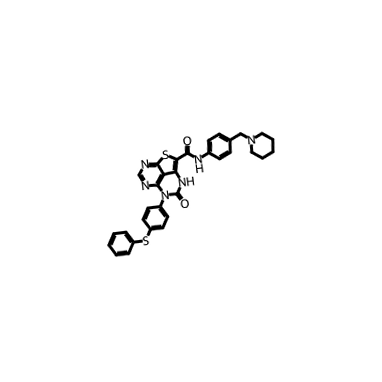 O=C(Nc1ccc(CN2CCCCC2)cc1)c1sc2ncnc3c2c1NC(=O)N3c1ccc(Sc2ccccc2)cc1